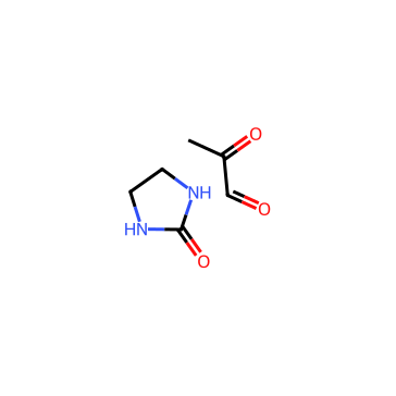 CC(=O)C=O.O=C1NCCN1